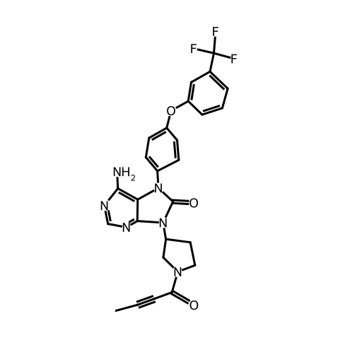 CC#CC(=O)N1CCC(n2c(=O)n(-c3ccc(Oc4cccc(C(F)(F)F)c4)cc3)c3c(N)ncnc32)C1